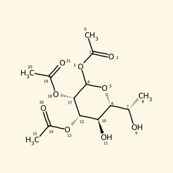 CC(=O)OC1O[C@H]([C@H](C)O)[C@@H](O)[C@H](OC(C)=O)[C@@H]1OC(C)=O